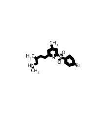 CNCC(C)CCc1cc(C)cc(S(=O)(=O)c2ccc(Br)cc2)n1